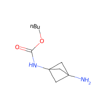 CCCCOC(=O)NC12CC(N)(C1)C2